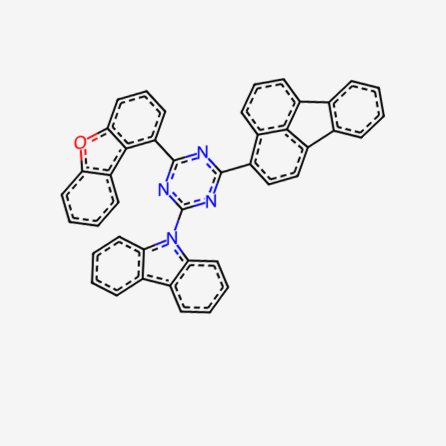 c1ccc2c(c1)-c1cccc3c(-c4nc(-c5cccc6oc7ccccc7c56)nc(-n5c6ccccc6c6ccccc65)n4)ccc-2c13